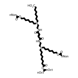 CCCCCCCCCC(=O)OCCCCCCCN(CCCCCCCC(=O)O)CCNC(=O)/C=C/C(=O)NCCN(CCCCCCCOC(=O)CCCCCCCCC)CCCCCCCC(=O)OC(CCCCCCCC)CCCCCCCC